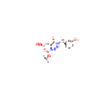 COc1cccc([C@@H](C)NC(=O)C(CCO)NC(=O)OC(C)(C)C)c1